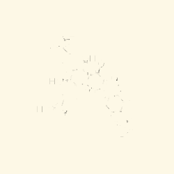 COc1c(-c2ccc(OC(F)(F)F)cc2)oc2c(CC=C(C)C)c(O)c(CC=C(C)C)c(O)c2c1=O